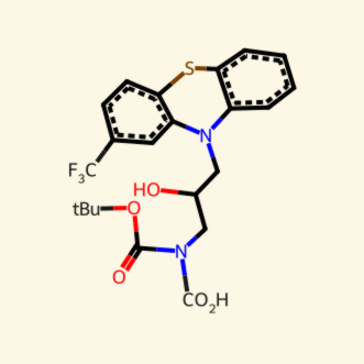 CC(C)(C)OC(=O)N(CC(O)CN1c2ccccc2Sc2ccc(C(F)(F)F)cc21)C(=O)O